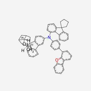 C[C@@H]1C2CC1C[C@@]1(c3ccccc3-c3cc(N(c4ccc(-c5cccc6c5oc5ccccc56)cc4)c4cccc5c4-c4ccccc4C54CCCC4)ccc31)[C@@H](C)C2